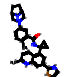 Cc1ccc2c(C3(NC(=O)c4cc(N5CC6CCC(C5)N6)ccc4C)CC3)cc(-c3nccs3)cc2n1